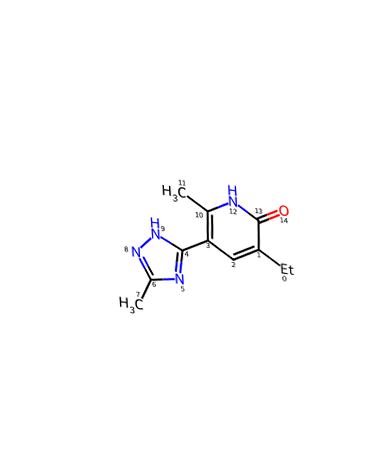 CCc1cc(-c2nc(C)n[nH]2)c(C)[nH]c1=O